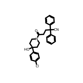 N#CC(CCC(=O)N1CCC(O)(c2ccc(Cl)cc2)CC1)(c1ccccc1)c1ccccc1